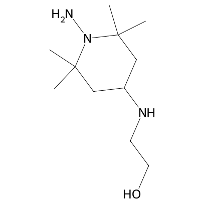 CC1(C)CC(NCCO)CC(C)(C)N1N